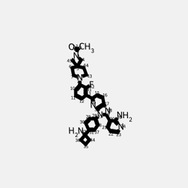 CC(=O)N1CC2(CCN(c3cccc(-c4ccc5nc(-c6cccnc6N)n(-c6ccc(C7(N)CCC7)cc6)c5n4)c3F)CC2)C1